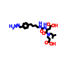 CC(C)CN(CCC(=O)O)C(=O)C(CC(=O)O)NC(=O)NCCCCc1ccc(C=NN)cc1